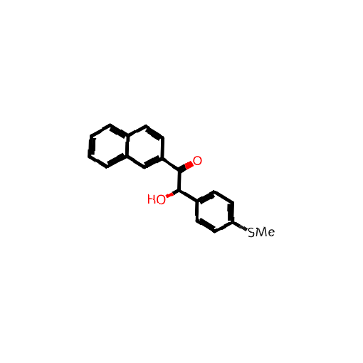 CSc1ccc(C(O)C(=O)c2ccc3ccccc3c2)cc1